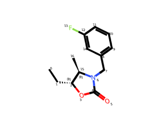 CC[C@H]1OC(=O)N(Cc2cccc(F)c2)[C@@H]1C